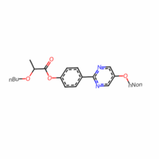 CCCCCCCCCOc1cnc(-c2ccc(OC(=O)C(C)OCCCC)cc2)nc1